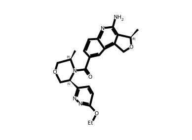 CCOc1ccc([C@H]2COC[C@@H](C)N2C(=O)c2ccc3nc(N)c4c(c3c2)CO[C@@H]4C)nn1